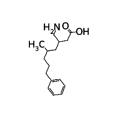 CC(CCCc1ccccc1)CC(CN)CC(=O)O